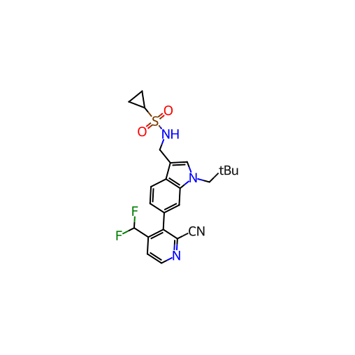 CC(C)(C)Cn1cc(CNS(=O)(=O)C2CC2)c2ccc(-c3c(C(F)F)ccnc3C#N)cc21